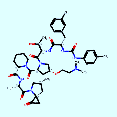 Cc1ccc(NC(=O)N[C@@H](Cc2cccc(C)c2)C(=O)N[C@H](C(=O)N2C[C@H](OCCN(C)C)C[C@H]2C(=O)N2CCCC[C@H]2C(=O)N[C@@H](C)C(=O)N2C[C@H](C)C[C@@]23CC3=O)[C@H](C)O)cc1